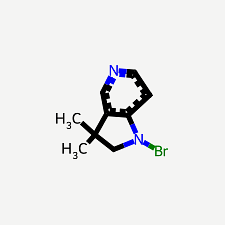 CC1(C)CN(Br)c2ccncc21